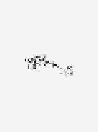 O=C(OCCCCCCCCC1CCC2OC2C1)C1CCC(O)C(O)C1